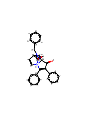 O=C1C(c2ccccc2)=C(c2ccccc2)[N+]23C=CC(=CC12)C31C=CC=CN1Cc1ccccc1